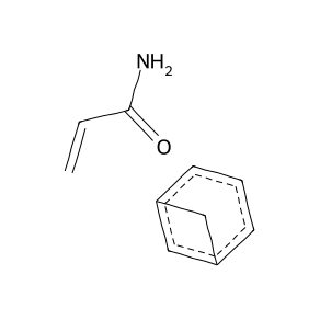 C=CC(N)=O.c1cc2cc(c1)C2